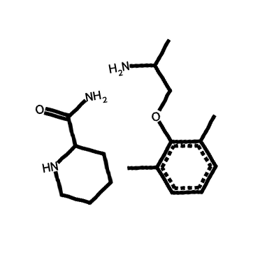 Cc1cccc(C)c1OCC(C)N.NC(=O)C1CCCCN1